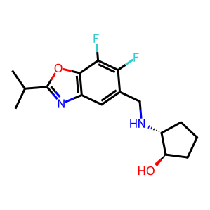 CC(C)c1nc2cc(CN[C@@H]3CCC[C@H]3O)c(F)c(F)c2o1